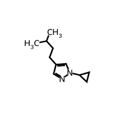 CC(C)CCc1cnn(C2CC2)c1